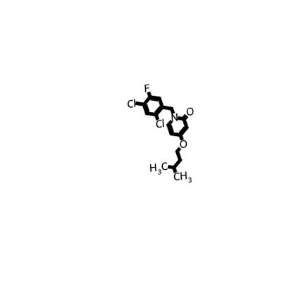 CC(C)CCOc1ccn(Cc2cc(F)c(Cl)cc2Cl)c(=O)c1